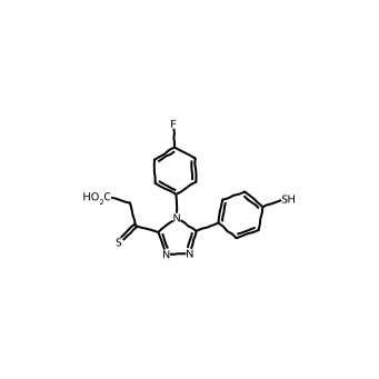 O=C(O)CC(=S)c1nnc(-c2ccc(S)cc2)n1-c1ccc(F)cc1